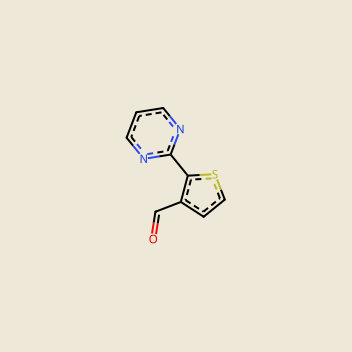 O=Cc1ccsc1-c1ncccn1